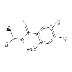 CCc1cc(C(=O)O)c(C(=O)OC(CC)C(C)(C)C)cc1Cl